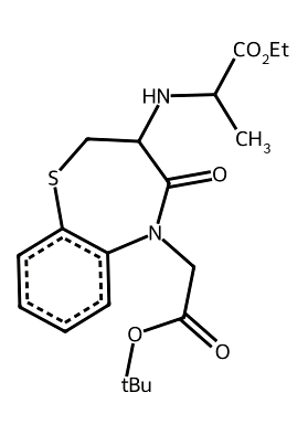 CCOC(=O)C(C)NC1CSc2ccccc2N(CC(=O)OC(C)(C)C)C1=O